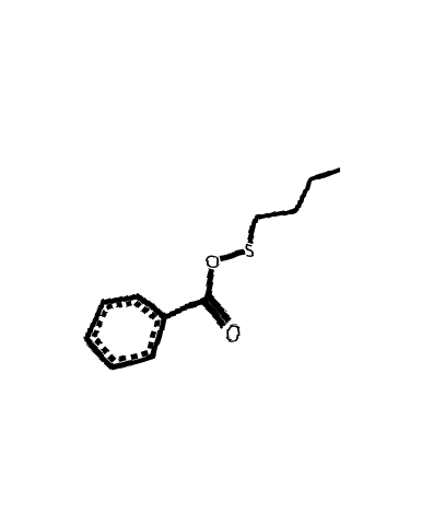 CCCCSOC(=O)c1ccccc1